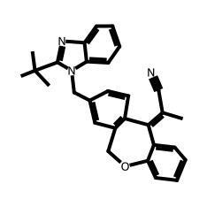 CC(C#N)=C1c2ccc(Cn3c(C(C)(C)C)nc4ccccc43)cc2COc2ccccc21